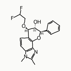 Cc1nc2c3c(ccc2n1C)[C@@H](OCC(F)F)[C@H](O)[C@@H](c1ccccc1)O3